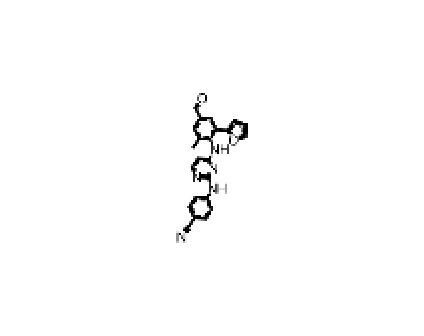 Cc1cc(C=O)cc(-c2ccco2)c1Nc1ccnc(Nc2ccc(C#N)cc2)n1